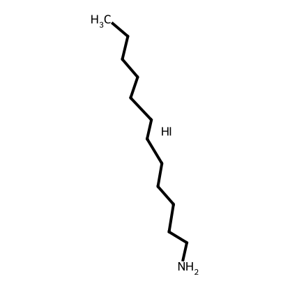 CCCCCCCCCCCCN.I